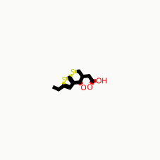 CCc1cc2c(s1)SCC(CC(=O)O)C2=O